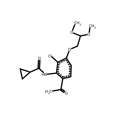 COC(COc1ccc(C(C)=O)c(NC(=O)C2CC2)c1Cl)OC